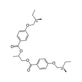 CC[C@@H](C)COc1ccc(C(=O)OCC(C)OC(=O)c2ccc(OC[C@H](C)CC)cc2)cc1